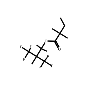 CCC(C)(C)C(=O)OC(C)(C)C(C)(C(F)(F)F)C(F)(F)F